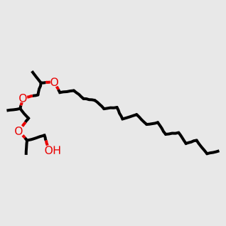 CCCCCCCCCCCCCCCCOC(C)COC(C)COC(C)CO